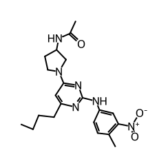 CCCCc1cc(N2CCC(NC(C)=O)C2)nc(Nc2ccc(C)c([N+](=O)[O-])c2)n1